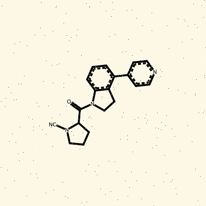 N#CN1CCCC1C(=O)N1CCc2c(-c3ccncc3)cccc21